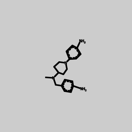 CN(Cc1ccc(N)cc1)C1CCN(c2ccc(N)cc2)CC1